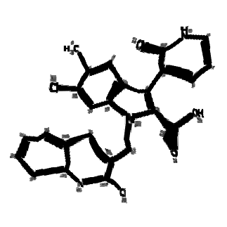 Cc1cc2c(-c3ccc[nH]c3=O)c(C(=O)O)n(Cc3cc4ccccc4nc3Cl)c2cc1Cl